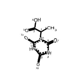 CC(C(=O)O)n1c(=O)[nH]c(=O)[nH]c1=O